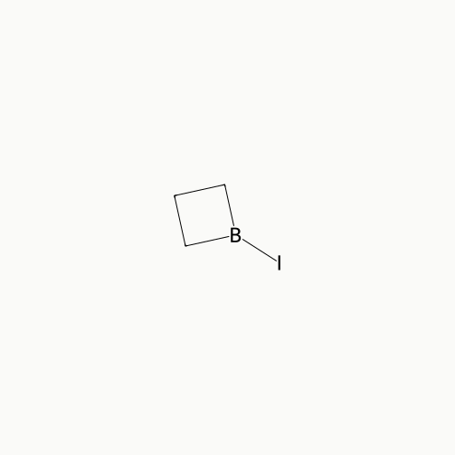 IB1CCC1